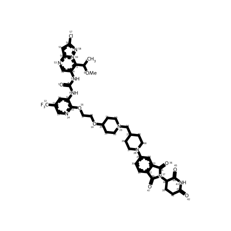 COC(C)c1c(NC(=O)Nc2cc(C(F)(F)F)cnc2OCCOC2CCN(CC3CCN(c4ccc5c(c4)C(=O)N(C4CCC(=O)NC4=O)C5=O)CC3)CC2)cnc2cc(Cl)nn12